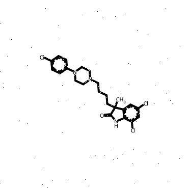 CC1(CCCCN2CCN(c3ccc(Cl)cc3)CC2)C(=O)Nc2c(Cl)cc(Cl)cc21